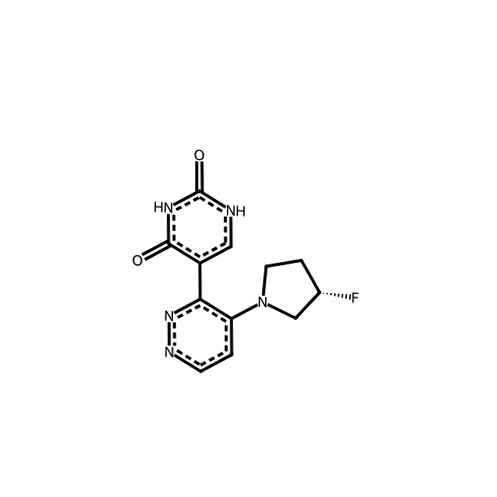 O=c1[nH]cc(-c2nnccc2N2CC[C@H](F)C2)c(=O)[nH]1